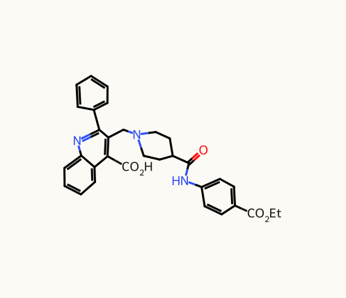 CCOC(=O)c1ccc(NC(=O)C2CCN(Cc3c(-c4ccccc4)nc4ccccc4c3C(=O)O)CC2)cc1